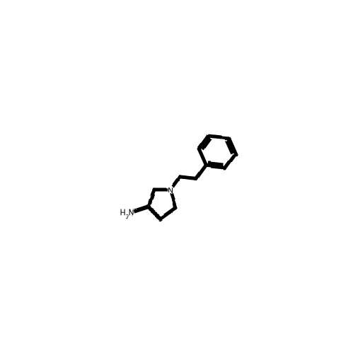 NC1CCN(CCc2ccccc2)C1